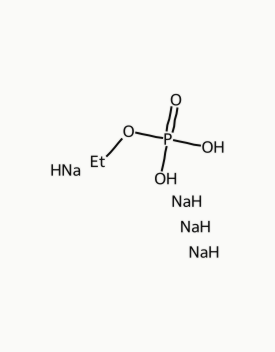 CCOP(=O)(O)O.[NaH].[NaH].[NaH].[NaH]